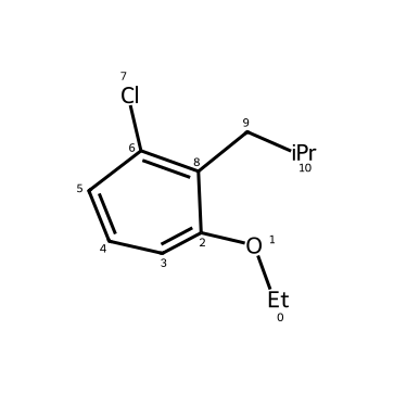 CCOc1cccc(Cl)c1CC(C)C